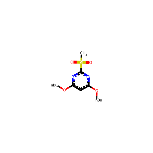 CCCCOc1cc(OCCCC)nc(S(C)(=O)=O)n1